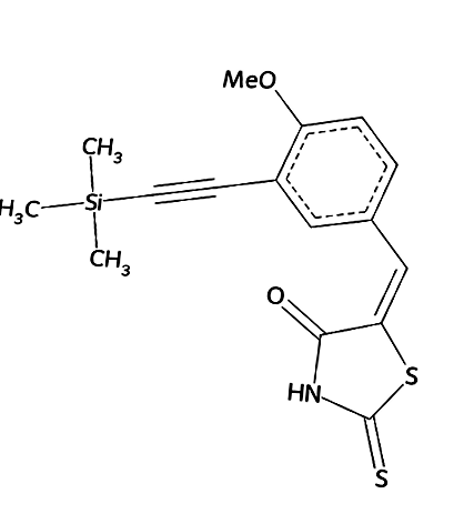 COc1ccc(/C=C2/SC(=S)NC2=O)cc1C#C[Si](C)(C)C